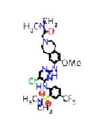 COc1cc2c(cc1Nc1ncc(Cl)c(Nc3ccc(C(F)(F)F)cc3S(=O)(=O)N(C)C)n1)CCN(CC(=O)N(C)C)CC2